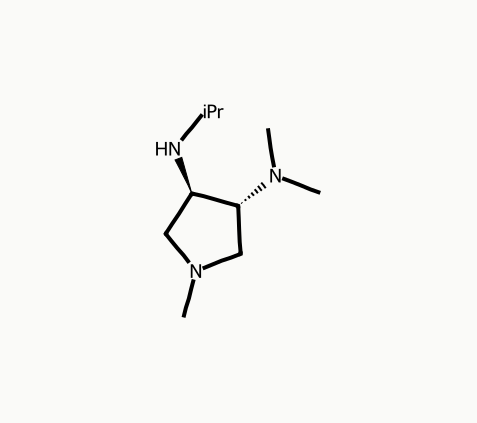 CC(C)N[C@@H]1CN(C)C[C@H]1N(C)C